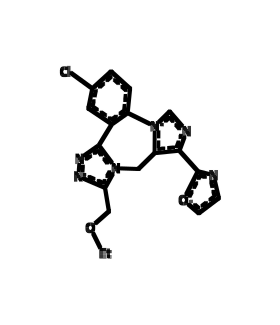 CCOCc1nnc2n1Cc1c(-c3ncco3)ncn1-c1ccc(Cl)cc1-2